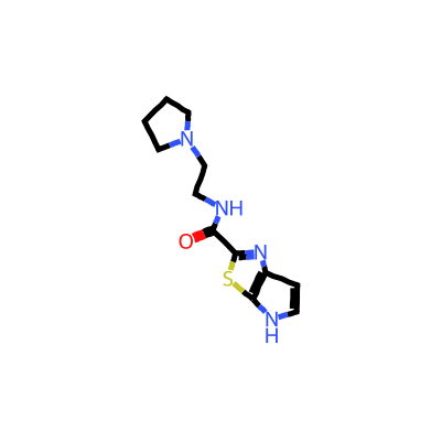 O=C(NCCN1CCCC1)c1nc2cc[nH]c2s1